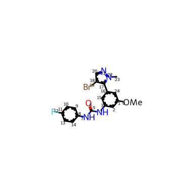 COc1cc(NC(=O)Nc2ccc(F)cc2)cc(-c2c(Br)cnn2C)c1